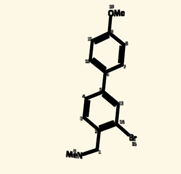 CNCc1ccc(-c2ccc(OC)cc2)cc1Br